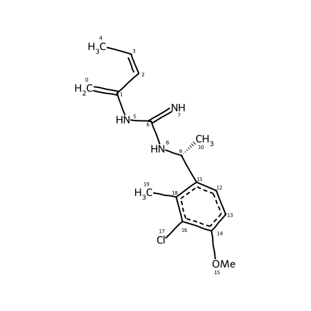 C=C(/C=C\C)NC(=N)N[C@H](C)c1ccc(OC)c(Cl)c1C